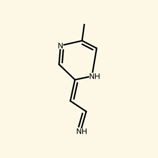 CC1=CN/C(=C\C=N)C=N1